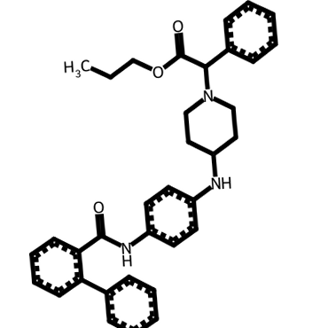 CCCOC(=O)C(c1ccccc1)N1CCC(Nc2ccc(NC(=O)c3ccccc3-c3ccccc3)cc2)CC1